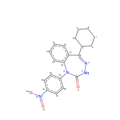 O=C1NN=C(C2CCCCC2)c2ccccc2N1c1ccc([N+](=O)[O-])cc1